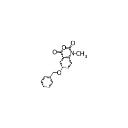 Cn1c(=O)oc(=O)c2cc(OCc3ccccc3)ccc21